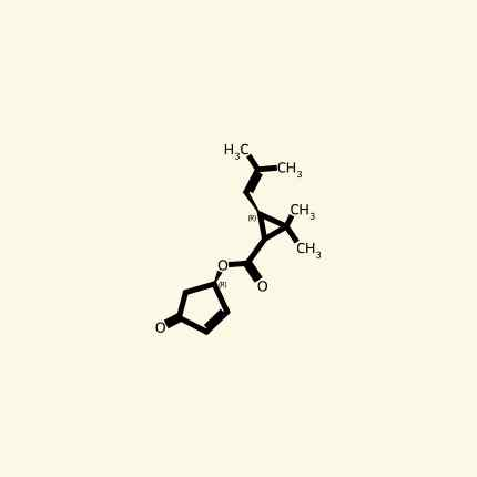 CC(C)=C[C@@H]1C(C(=O)O[C@H]2C=CC(=O)C2)C1(C)C